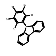 [2H]c1c([2H])c([2H])c(-n2c3ccccc3c3ccccc32)c([2H])c1[2H]